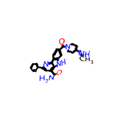 CNC1CCN(C(=O)c2ccc3c(c2)[nH]c2c(C(N)=O)cc(-c4ccccc4)nc23)CC1